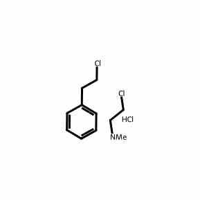 CNCCCl.Cl.ClCCc1ccccc1